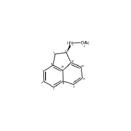 CC(=O)ON[C@@H]1Cc2cccc3cccc1c23